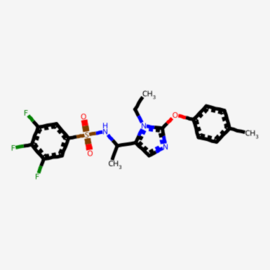 CCn1c(C(C)NS(=O)(=O)c2cc(F)c(F)c(F)c2)cnc1Oc1ccc(C)cc1